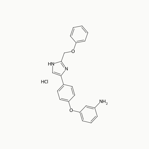 Cl.Nc1cccc(Oc2ccc(-c3c[nH]c(COc4ccccc4)n3)cc2)c1